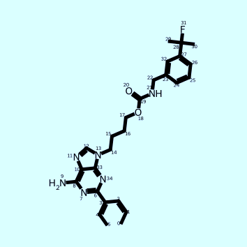 C/C=C\C(=C/C)c1nc(N)c2ncn(CCCCOC(=O)NCc3cccc(C(C)(C)F)c3)c2n1